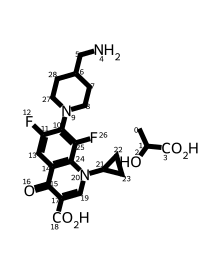 CC(O)C(=O)O.NCC1CCN(c2c(F)cc3c(=O)c(C(=O)O)cn(C4CC4)c3c2F)CC1